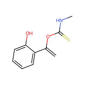 C=C(OC(=S)NC)c1ccccc1O